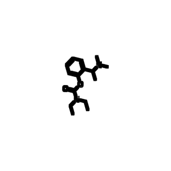 CCN(CC)C(=O)Oc1ccccc1C(C)N(C)C